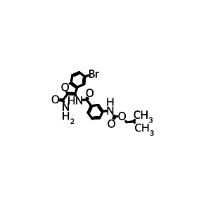 CC(C)COC(=O)Nc1cccc(C(=O)Nc2c(C(N)=O)oc3ccc(Br)cc23)c1